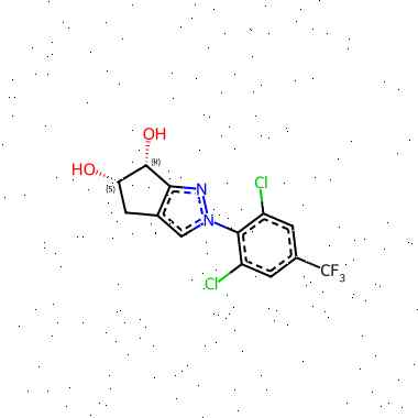 O[C@@H]1c2nn(-c3c(Cl)cc(C(F)(F)F)cc3Cl)cc2C[C@@H]1O